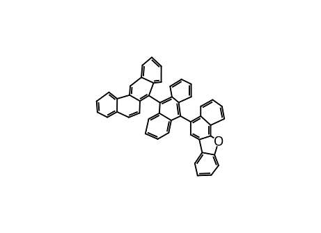 c1ccc2c(-c3c4ccccc4c(-c4cc5c6ccccc6oc5c5ccccc45)c4ccccc34)c3ccc4ccccc4c3cc2c1